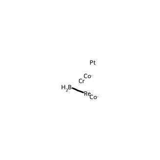 [BH2][Re].[Co].[Co].[Cr].[Pt]